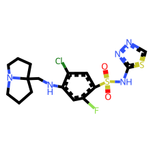 O=S(=O)(Nc1nncs1)c1cc(Cl)c(NCC23CCCN2CCC3)cc1F